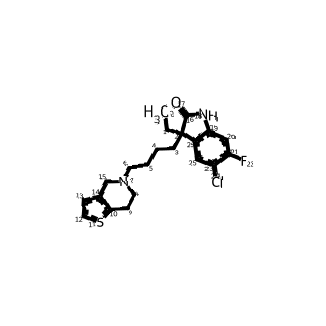 CCC1(CCCCN2CCc3sccc3C2)C(=O)Nc2cc(F)c(Cl)cc21